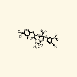 CS(=O)(=O)c1nc(NC(CC2=CCC(=S(=O)=O)C=C2)C(=O)O)c([N+](=O)[O-])c(Oc2ccc(C#N)c([N+](=O)[O-])c2)n1